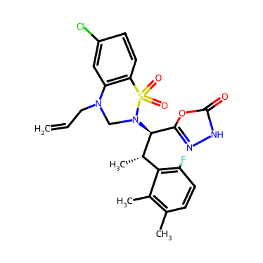 C=CCN1CN([C@@H](c2n[nH]c(=O)o2)[C@@H](C)c2c(F)ccc(C)c2C)S(=O)(=O)c2ccc(Cl)cc21